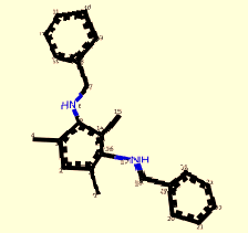 Cc1cc(C)c(NCc2ccccc2)c(C)c1NCc1ccccc1